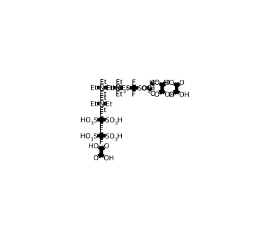 CC[N+](CC)(CC)CC.CC[N+](CC)(CC)CC.CC[N+](CC)(CC)CC.O=C(O)C(=O)O.O=C(O)C(=O)O.O=C(O)C(=O)O.O=S(=O)(O)C(F)(F)S(=O)(=O)O.O=S(=O)(O)C(F)(F)S(=O)(=O)O.O=S(=O)(O)C(F)(F)S(=O)(=O)O.[O-]B([O-])[O-]